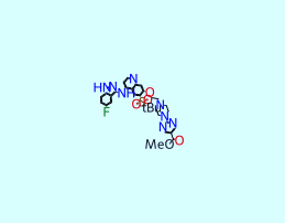 COC(=O)c1cnc(N2CCN(CCOc3cc4nccc(Nc5n[nH]c6ccc(F)cc56)c4cc3S(=O)(=O)C(C)(C)C)CC2)nc1